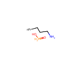 CCCCCCN.O=[PH2]O